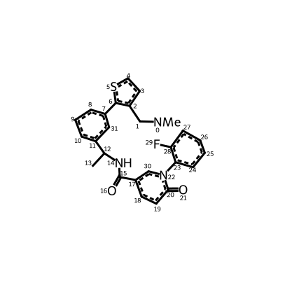 CNCc1ccsc1-c1cccc(C(C)NC(=O)c2ccc(=O)n(-c3ccccc3F)c2)c1